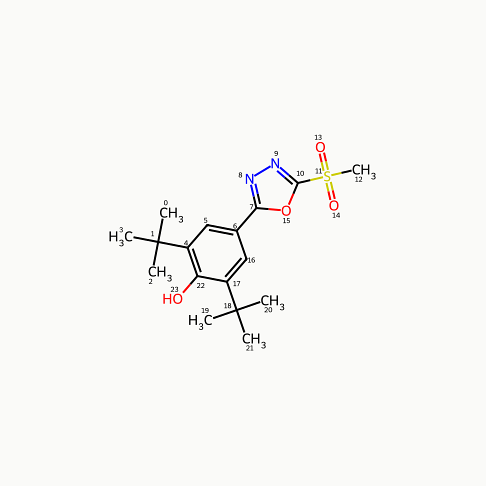 CC(C)(C)c1cc(-c2nnc(S(C)(=O)=O)o2)cc(C(C)(C)C)c1O